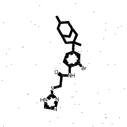 CC1CC2CC(C1)CC(C)(c1ccc(NC(=O)CSc3nnc[nH]3)c(Br)c1)C2